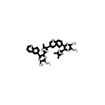 Cc1nc(-c2nc(N)c(C#N)nc2-c2ccc3ncc(-c4oc(-c5nc(N)c(C#N)nc5-c5ccc6ncccc6c5)nc4C)cc3c2)oc1C